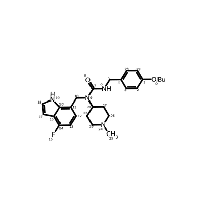 CC(C)COc1ccc(CNC(=O)N(Cc2ccc(F)c3cc[nH]c23)C2CCN(C)CC2)cc1